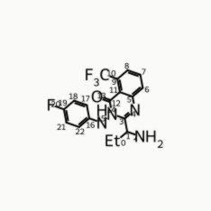 CCC(N)c1nc2cccc(C(F)(F)F)c2c(=O)n1Nc1ccc(F)cc1